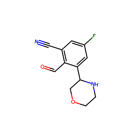 N#Cc1cc(F)cc(C2COCCN2)c1C=O